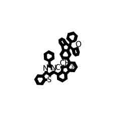 CC1(C)c2c(-c3ccc4c(c3)C3(c5ccccc5Oc5ccccc53)c3ccccc3-4)cccc2-c2cccc(-c3nc(-c4ccccc4)nc4c3sc3ccccc34)c21